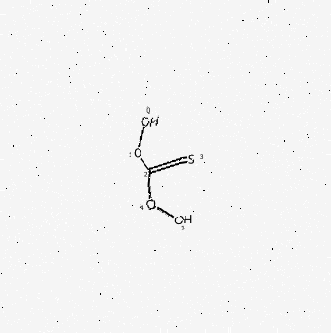 OOC(=S)OO